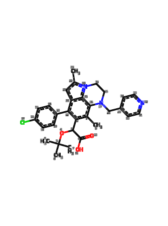 Cc1c(C(OC(C)(C)C)C(=O)O)c(-c2ccc(Cl)cc2)c2cc(C)n3c2c1N(Cc1ccncc1)CC3